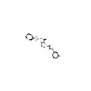 NC(Cc1cccc(O)c1)C(=O)N1CCC2C1C(=O)CN2S(=O)(=O)c1cccnc1